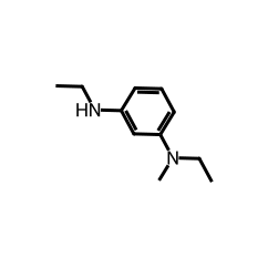 CCNc1cccc(N(C)CC)c1